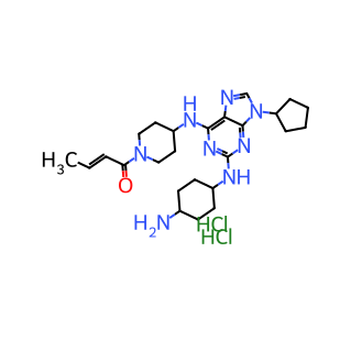 C/C=C/C(=O)N1CCC(Nc2nc(NC3CCC(N)CC3)nc3c2ncn3C2CCCC2)CC1.Cl.Cl